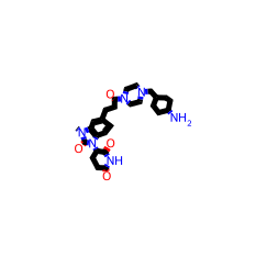 Cn1c(=O)n(C2CCC(=O)NC2=O)c2ccc(CCC(=O)N3CCN(CC4CCC(N)CC4)CC3)cc21